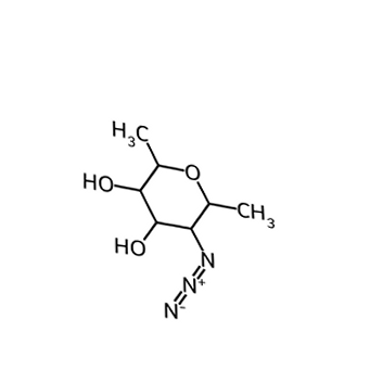 CC1OC(C)C(N=[N+]=[N-])C(O)C1O